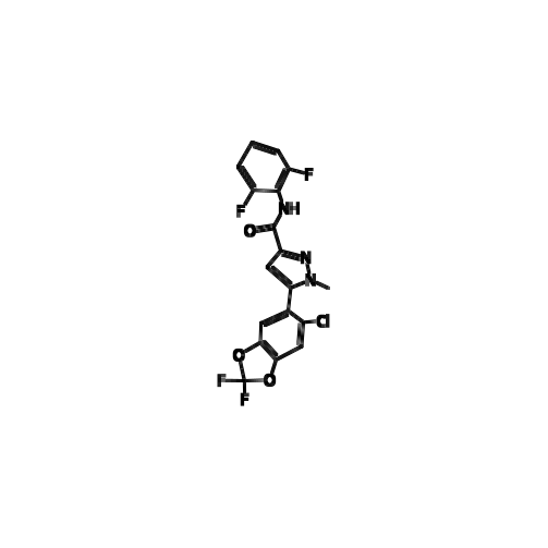 Cn1nc(C(=O)Nc2c(F)cccc2F)cc1-c1cc2c(cc1Cl)OC(F)(F)O2